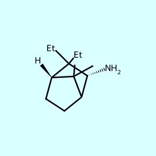 CCC1(CC)[C@H](N)C2CC[C@H]1C2(C)C